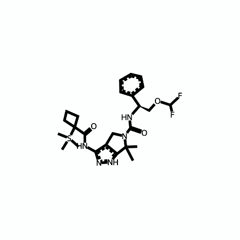 CC1(C)c2[nH]nc(NC(=O)C3(S(C)(C)C)CCC3)c2CN1C(=O)N[C@H](COC(F)F)c1ccccc1